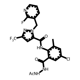 CC(=O)NNC(=O)c1cc(Cl)cc(C)c1NC(=O)c1cc(C(F)(F)F)nn1Cc1cccnc1F